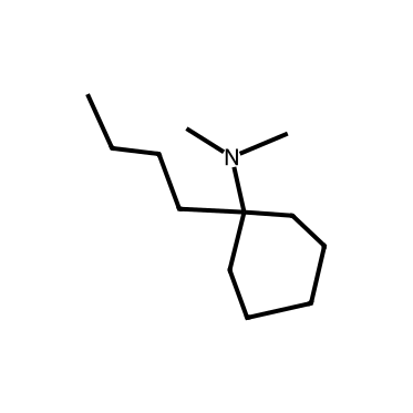 CCCCC1(N(C)C)CCCCC1